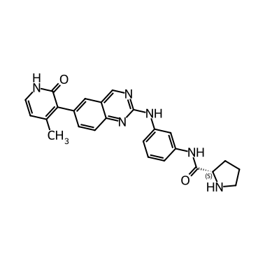 Cc1cc[nH]c(=O)c1-c1ccc2nc(Nc3cccc(NC(=O)[C@@H]4CCCN4)c3)ncc2c1